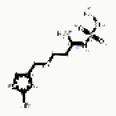 CC(C)c1nc(CSCC/C(N)=N/S(=O)(=O)OC(F)(F)F)cs1